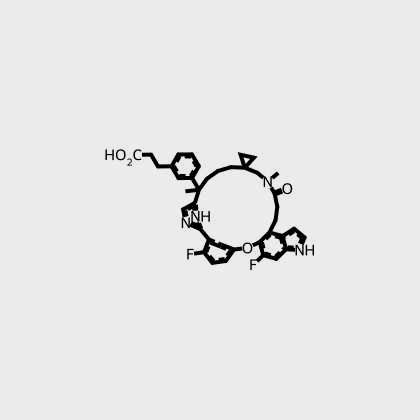 CN1CC2(CCCC(C)(c3cccc(CCC(=O)O)c3)c3cnc([nH]3)-c3cc(ccc3F)Oc3c(F)cc4[nH]ccc4c3CCC1=O)CC2